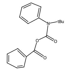 CC(C)(C)N(C(=O)OC(=O)c1ccccc1)c1ccccc1